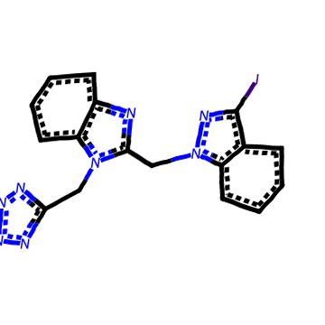 Ic1nn(Cc2nc3ccccc3n2Cc2nn[nH]n2)c2ccccc12